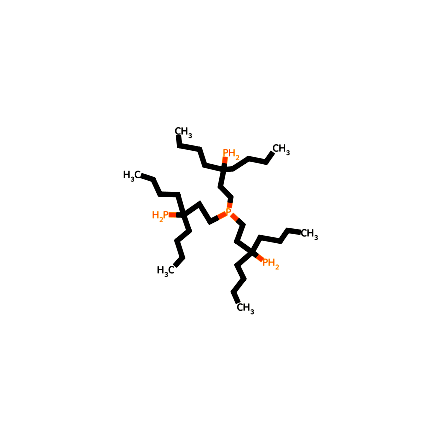 CCCCC(P)(CCCC)CCP(CCC(P)(CCCC)CCCC)CCC(P)(CCCC)CCCC